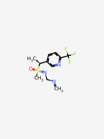 C=NCN=S(C)(=O)[C@@H](C)c1ccc(C(F)(F)F)nc1